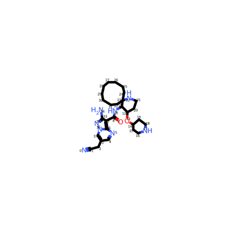 N#CCc1cnc2c(C(=O)NC3C(OC4CCNCC4)CCNC34CCCCCCCCC4)c(N)nn2c1